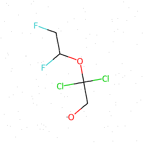 [O]CC(Cl)(Cl)OC(F)CF